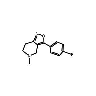 CN1CCc2noc(-c3ccc(F)cc3)c2C1